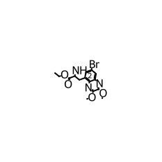 CCOC(=O)C(N)Cc1cc(Br)cc2nc(OC)c(OC)nc12